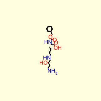 NCC[C@@H](O)CNCCCC[C@H](NC(=O)OCc1ccccc1)C(=O)O